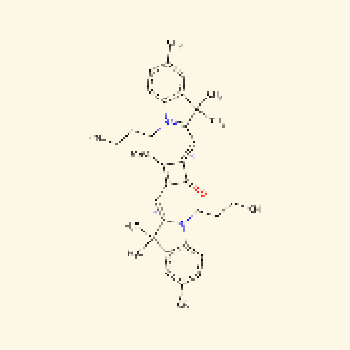 [C-]#[N+]CCC[N+]1=C(/C=C2/C(=O)C(/C=C3\N(CCCC#N)c4ccc(C(F)(F)F)cc4C3(C)C)=C2OC)C(C)(C)c2cc(C)ccc21